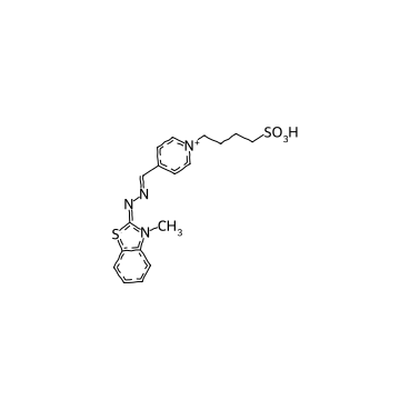 Cn1c(=NN=Cc2cc[n+](CCCCS(=O)(=O)O)cc2)sc2ccccc21